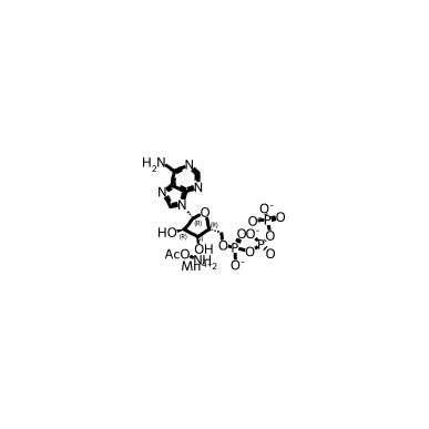 CC(=O)ON.Nc1ncnc2c1ncn2[C@@H]1O[C@H](COP(=O)([O-])OP(=O)([O-])OP(=O)([O-])[O-])[C@@H](O)[C@H]1O.[Mn+4]